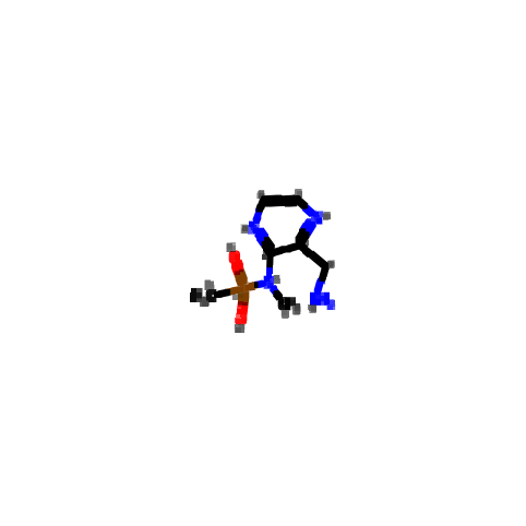 CN(c1nccnc1CN)S(C)(=O)=O